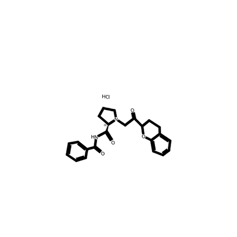 Cl.O=C(NC(=O)[C@H]1CCCN1CC(=O)C1CCc2ccccc2O1)c1ccccc1